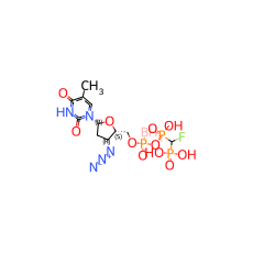 BP(=O)(OC[C@H]1O[C@@H](n2cc(C)c(=O)[nH]c2=O)C[C@H]1N=[N+]=[N-])OP(=O)(O)C(F)P(=O)(O)O